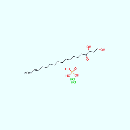 CCCCCCCCC=CCCCCCCCCCCCC(=O)C(O)CCO.Cl.Cl.O=P(O)(O)O